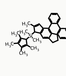 CC1=Cc2c(cc3c(c2-c2ccccc2-c2ccccc2)CCC3)C1[Si](C)(C)C1C(C)=C(C)C(C)=C1C